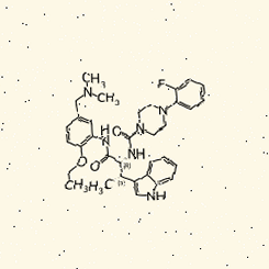 CCOc1ccc(CN(C)C)cc1NC(=O)[C@H](NC(=O)N1CCN(c2ccccc2F)CC1)[C@@H](C)c1c[nH]c2ccccc12